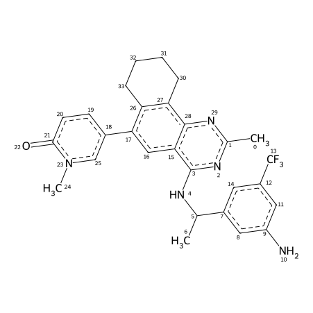 Cc1nc(NC(C)c2cc(N)cc(C(F)(F)F)c2)c2cc(-c3ccc(=O)n(C)c3)c3c(c2n1)CCCC3